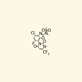 CN(c1nc2c(Cl)cc(F)c(-n3c(=O)cc(C(F)(F)F)n(C)c3=O)c2o1)S(C)(=O)=O